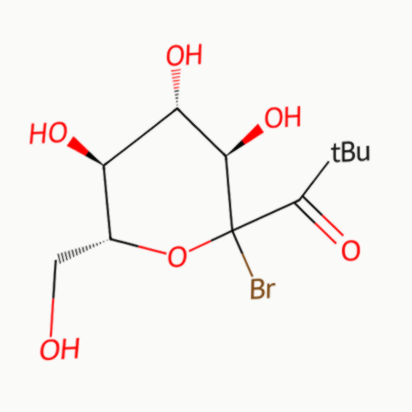 CC(C)(C)C(=O)C1(Br)O[C@H](CO)[C@@H](O)[C@H](O)[C@H]1O